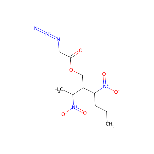 CCCC(C(COC(=O)CN=[N+]=[N-])C(C)[N+](=O)[O-])[N+](=O)[O-]